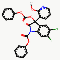 CCOc1ncccc1C1(OC(=O)Oc2ccccc2)C(=O)N(C(=O)Oc2ccccc2)c2cc(F)c(Cl)cc21